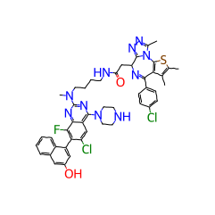 Cc1sc2c(c1C)C(c1ccc(Cl)cc1)=NC(CC(=O)NCCCCN(C)c1nc(N3CCNCC3)c3cc(Cl)c(-c4cc(O)cc5ccccc45)c(F)c3n1)c1nnc(C)n1-2